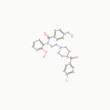 COc1ccccc1N(CCN1CCC(C(=O)c2ccc(F)cc2)CC1)C(=O)c1ccc(CCl)cc1